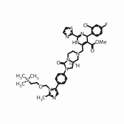 COC(=O)C1=C(CN2CCN3C(=O)N(c4ccc(-c5cnc(C)n5COCC[Si](C)(C)C)cc4)C[C@@H]3C2)NC(c2nccs2)=NC1c1ccc(F)cc1Cl